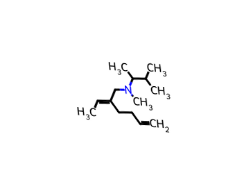 C=CCC/C(=C\C)CN(C)C(C)C(C)C